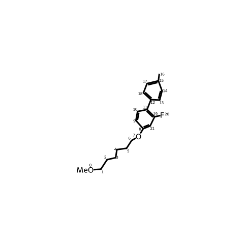 COCCCCCCOc1ccc(-c2ccc(C)cc2)c(F)c1